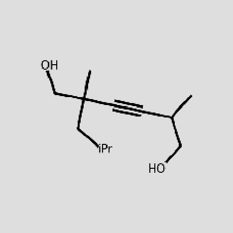 CC(C)CC(C)(C#CC(C)CO)CO